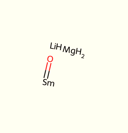 [LiH].[MgH2].[O]=[Sm]